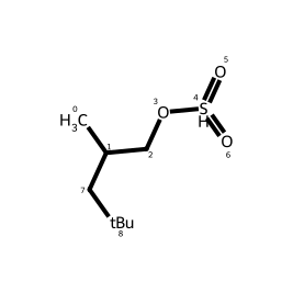 CC(CO[SH](=O)=O)CC(C)(C)C